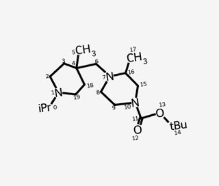 CC(C)N1CCC(C)(CN2CCN(C(=O)OC(C)(C)C)CC2C)CC1